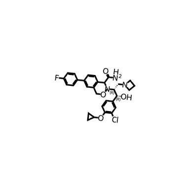 NC(=O)C1c2ccc(-c3ccc(F)cc3)cc2CON1[C@H](CN1CCC1)[C@H](O)c1ccc(OC2CC2)c(Cl)c1